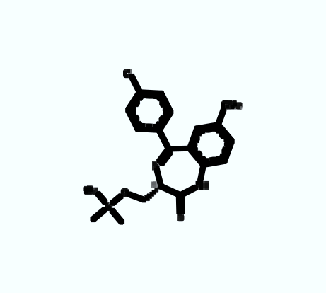 COc1ccc2c(c1)C(c1ccc(Cl)cc1)=N[C@@H](CO[Si](C)(C)C(C)(C)C)C(=S)N2